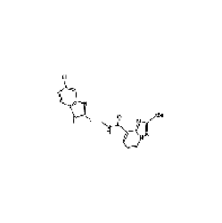 CC(C)(C)c1nc2c(C(=O)NCCc3nc4cc(Cl)ccc4[nH]3)cccn2n1